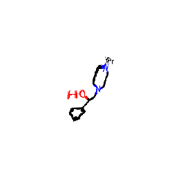 CC(C)N1CCN(CC(O)c2ccccc2)CC1